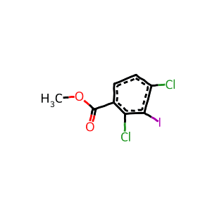 COC(=O)c1ccc(Cl)c(I)c1Cl